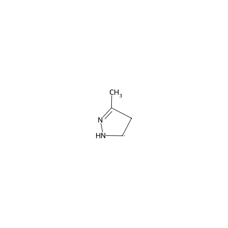 CC1=NN[CH]C1